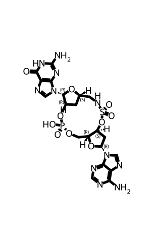 Nc1nc2c(ncn2[C@@H]2O[C@@H]3CNS(=O)(=O)O[C@H]4C[C@H](n5cnc6c(N)ncnc65)O[C@@H]4COP(=O)(O)O[C@@H]2C3)c(=O)[nH]1